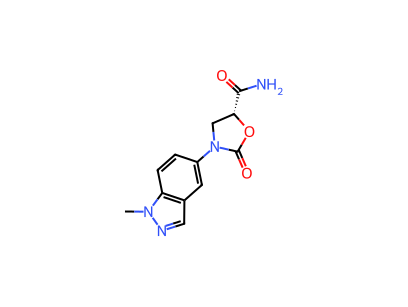 Cn1ncc2cc(N3C[C@H](C(N)=O)OC3=O)ccc21